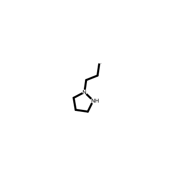 [CH2]CCN1CCCN1